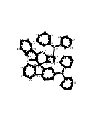 c1ccc(N(c2ccccc2)c2ccc3c(c2)C2(c4ccccc4-3)c3cccc(N(c4ccccc4)c4ccccc4)c3Sc3c2ccc2ccccc32)cc1